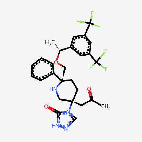 CC(=O)C[C@]1(n2cn[nH]c2=O)CC[C@@](CO[C@H](C)c2cc(C(F)(F)F)cc(C(F)(F)F)c2)(c2ccccc2)NC1